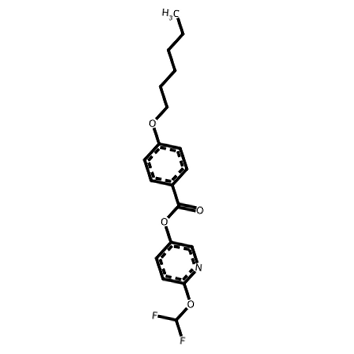 CCCCCCOc1ccc(C(=O)Oc2ccc(OC(F)F)nc2)cc1